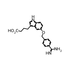 N=C(N)c1ccc(COc2ccc3[nH]cc(CCCC(=O)O)c3c2)cc1